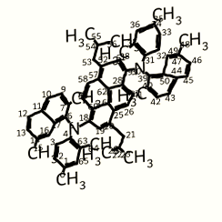 Cc1ccc(N(c2c(C)ccc3ccc(C)cc23)c2cc(CC(C)C)c3ccc4c(N(c5ccc(C)cc5C)c5c(C)ccc6ccc(C)cc56)cc(CC(C)C)c5ccc2c3c54)c(C)c1